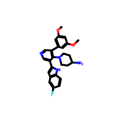 COc1cc(OC)cc(-c2cncc(-c3cc4cc(F)ccc4[nH]3)c2N2CCC(N)CC2)c1